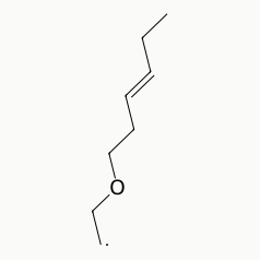 [CH2]COCCC=CCC